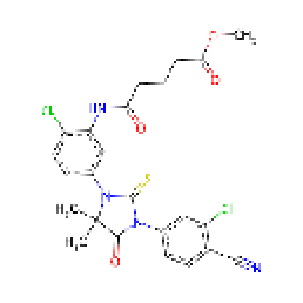 COC(=O)CCCC(=O)Nc1cc(N2C(=S)N(c3ccc(C#N)c(Cl)c3)C(=O)C2(C)C)ccc1Cl